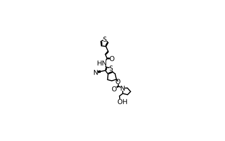 N#Cc1c(NC(=O)C=Cc2ccsc2)sc2c1CCC(OC(=O)N1CCCC1CO)C2